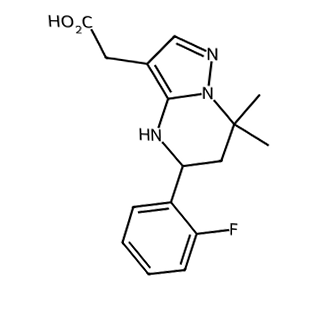 CC1(C)CC(c2ccccc2F)Nc2c(CC(=O)O)cnn21